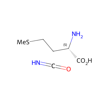 CSCC[C@H](N)C(=O)O.N=C=O